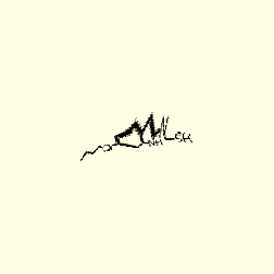 CCCCOc1ccc2cc(N=CS)[nH]c2c1